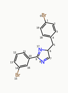 Brc1ccc(CC2C=NC(c3cccc(Br)c3)=N2)cc1